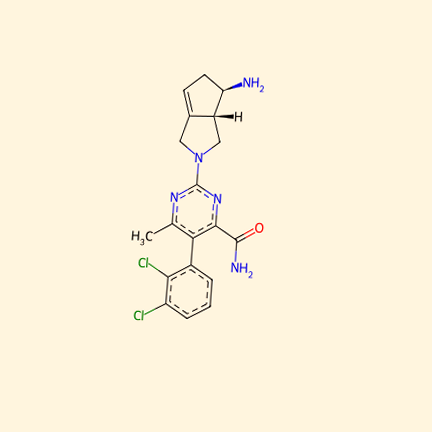 Cc1nc(N2CC3=CC[C@@H](N)[C@@H]3C2)nc(C(N)=O)c1-c1cccc(Cl)c1Cl